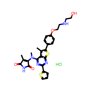 CC1=C(N(C)c2nc(-c3cccs3)nc3sc(-c4ccc(OCCNCCO)cc4)c(C)c23)C(=O)NC1=O.Cl